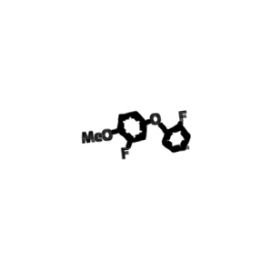 COc1ccc(Oc2cc[c]cc2F)cc1F